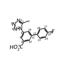 Cc1nnnn1-c1cc(C(=O)O)cc(-c2ccc(F)cc2)c1